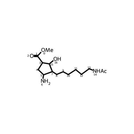 COC(=O)C1CC(N)C(CCCCCCNC(C)=O)C1O